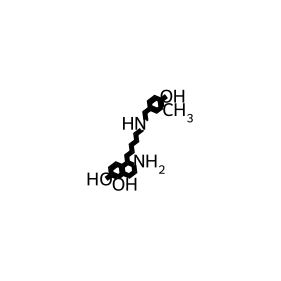 Cc1cc(CCNCCCCCCC2c3ccc(O)c(O)c3CCC2N)ccc1O